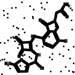 CCC(Nc1c(Nc2ccc(Cl)c3c2C(=O)N(CC(N)=O)C3)c(=O)c1=O)c1ccc(C)o1